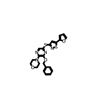 c1ccc(COc2nc(Sc3cc(-c4ccco4)sn3)cnc2N2CCOCC2)cc1